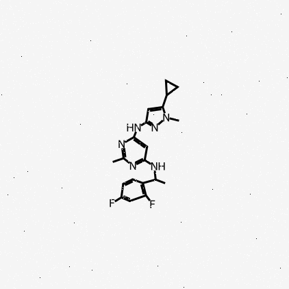 Cc1nc(Nc2cc(C3CC3)n(C)n2)cc(NC(C)c2ccc(F)cc2F)n1